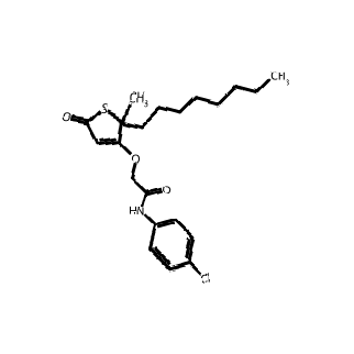 CCCCCCCCC1(C)SC(=O)C=C1OCC(=O)Nc1ccc(Cl)cc1